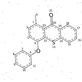 Cc1ccc(Oc2ccccc2)c2sc3ccccc3c(=O)c12